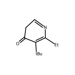 CCC1=C(C(C)(C)C)C(=O)CC=N1